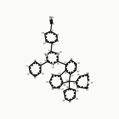 N#Cc1ccc(-c2nc(-c3ccccc3)nc(-c3cccc4c3-c3ccccc3C4(c3ccccc3)c3ccccc3)n2)cc1